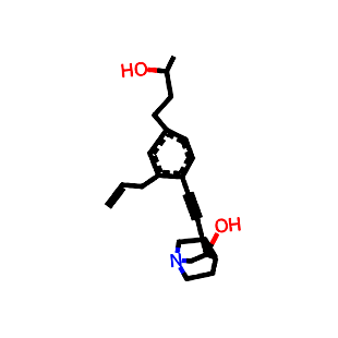 C=CCc1cc(CCC(C)O)ccc1C#CC1(O)CN2CCC1CC2